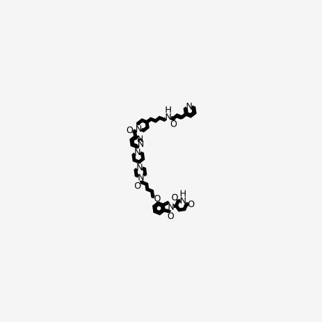 O=C(/C=C/c1cccnc1)NCCCCC1CCN(C(=O)c2ccc(N3CCC(N4CCN(C(=O)CCCCOc5cccc6c5CN(C5CCC(=O)NC5=O)C6=O)CC4)CC3)nn2)CC1